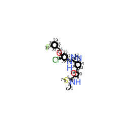 CCCN[C@H](CSC)c1ccc(-c2ccc3ncnc(Nc4ccc(OCc5cccc(F)c5)c(Cl)c4)c3c2)o1